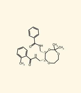 Cc1ccccc1C(=O)NC[C@H]1OCCOC(C)(C)O[C@H]1CNC(=O)c1ccccc1